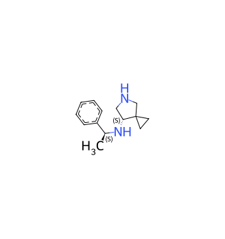 C[C@H](N[C@@H]1CNCC12CC2)c1ccccc1